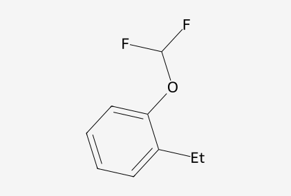 [CH2]Cc1ccccc1OC(F)F